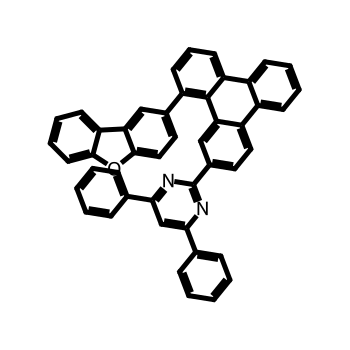 c1ccc(-c2cc(-c3ccccc3)nc(-c3ccc4c5ccccc5c5cccc(-c6ccc7oc8ccccc8c7c6)c5c4c3)n2)cc1